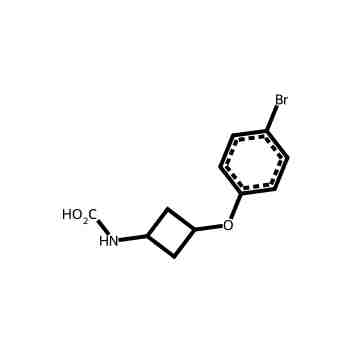 O=C(O)NC1CC(Oc2ccc(Br)cc2)C1